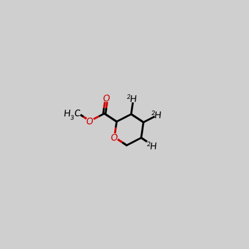 [2H]C1COC(C(=O)OC)C([2H])C1[2H]